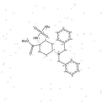 CCCCS(=O)(=O)N[C@]1(C(=O)OC)CC[C@H](N(Cc2ccccc2)Cc2ccccc2)CC1